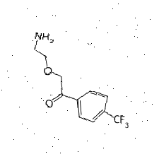 NCCOCC(=O)c1ccc(C(F)(F)F)cc1